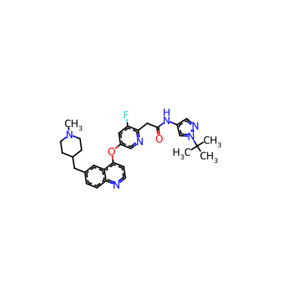 CN1CCC(Cc2ccc3nccc(Oc4cnc(CC(=O)Nc5cnn(C(C)(C)C)c5)c(F)c4)c3c2)CC1